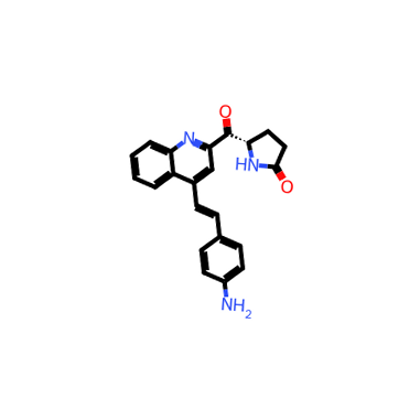 Nc1ccc(C=Cc2cc(C(=O)[C@@H]3CCC(=O)N3)nc3ccccc23)cc1